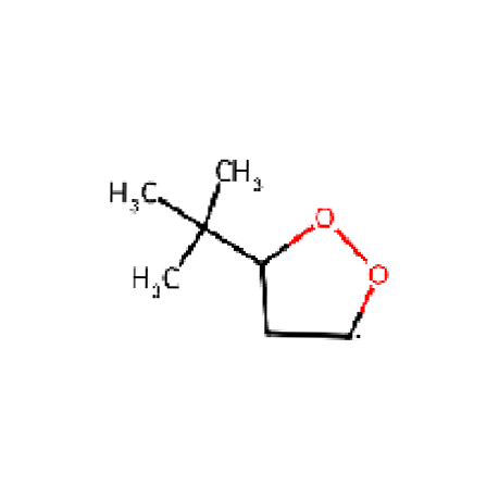 CC(C)(C)C1C[CH]OO1